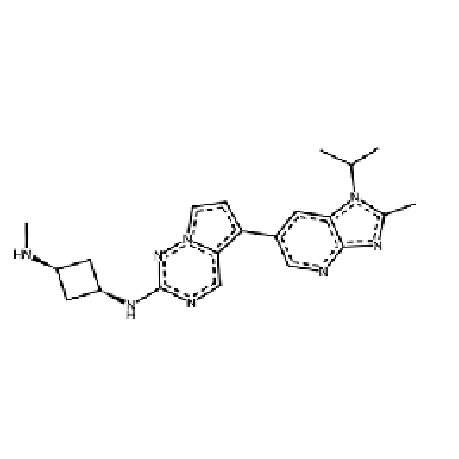 CN[C@H]1C[C@@H](Nc2ncc3c(-c4cnc5nc(C)n(C(C)C)c5c4)ccn3n2)C1